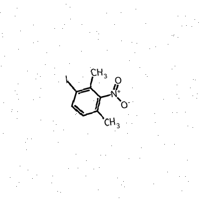 Cc1ccc(I)c(C)c1[N+](=O)[O-]